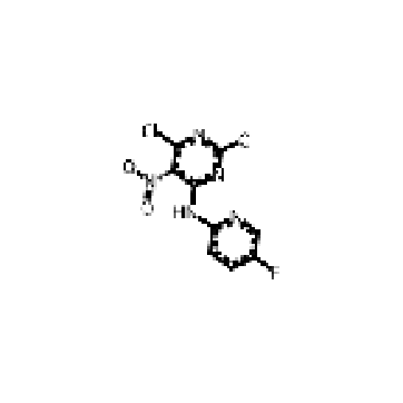 O=[N+]([O-])c1c(Cl)nc(Cl)nc1Nc1ccc(F)cn1